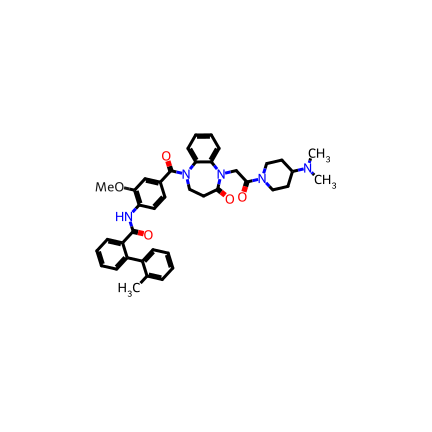 COc1cc(C(=O)N2CCC(=O)N(CC(=O)N3CCC(N(C)C)CC3)c3ccccc32)ccc1NC(=O)c1ccccc1-c1ccccc1C